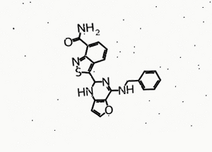 NC(=O)c1cccc2c(C3N=C(NCc4ccccc4)c4occc4N3)snc12